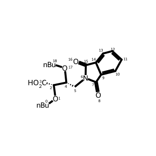 CCCCO[C@H](C(=O)O)[C@@H](CN1C(=O)c2ccccc2C1=O)OCCCC